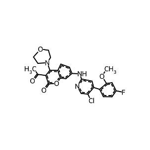 COc1cc(F)ccc1-c1cc(Nc2ccc3c(N4CCOCC4)c(C(C)=O)c(=O)oc3c2)ncc1Cl